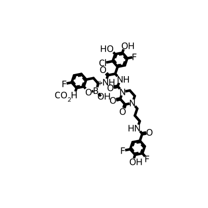 O=C(NCCCN1CCN(C(=O)NC(C(=O)N[C@H]2Cc3ccc(F)c(C(=O)O)c3OB2O)c2cc(F)c(O)c(O)c2Cl)C(=O)C1=O)c1cc(F)c(O)c(F)c1